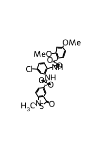 COc1ccc(S(=O)(=O)Nc2ccc(Cl)cc2NS(=O)(=O)c2ccc3c(c2)c(=O)sn3C)c(OC)c1